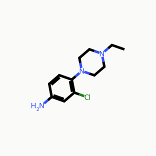 CCN1CCN(c2ccc(N)cc2Cl)CC1